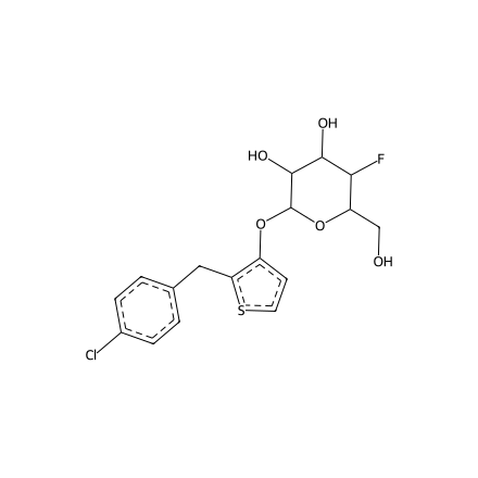 OCC1OC(Oc2ccsc2Cc2ccc(Cl)cc2)C(O)C(O)C1F